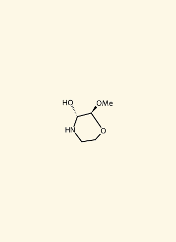 CO[C@H]1OCCN[C@@H]1O